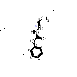 C/C=N/NC(=O)Oc1ccccc1